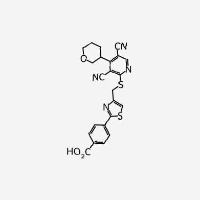 N#Cc1cnc(SCc2csc(-c3ccc(C(=O)O)cc3)n2)c(C#N)c1C1CCCOC1